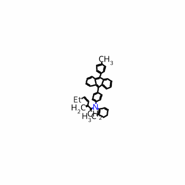 C=C(/C=C\CC)C(=C)N(C1=C(C)CCC=C1)c1ccc(-c2c3ccccc3c(-c3ccc(C)cc3)c3ccccc23)cc1